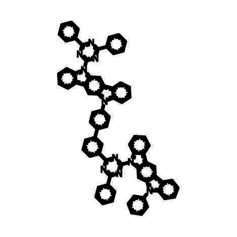 c1ccc(-c2nc(-c3ccccc3)nc(-n3c4ccccc4c4cc5c(cc43)c3ccccc3n5-c3ccc(-c4cccc(-c5nc(-c6ccccc6)nc(-n6c7ccccc7c7cc8c9ccccc9n(-c9ccccc9)c8cc76)n5)c4)cc3)n2)cc1